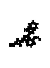 Nc1nccn2c1c(-c1cc3ccccc3[nH]1)nc2[C@H]1C[C@@H](O)C1